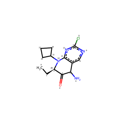 CC[C@@H]1C(=O)C(N)c2cnc(Cl)nc2N1C1CCC1